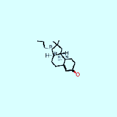 CCC[C@H]1[C@@H]2CCC3=CC(=O)CC[C@]3(C)[C@H]2CC1(C)C